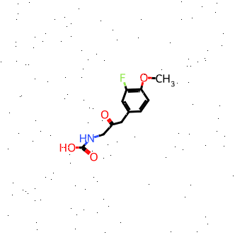 COc1ccc(CC(=O)CNC(=O)O)cc1F